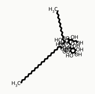 CCCCCCCCCCCCCCCCCCCCCCCCCC(=O)N[C@@H](COP(=O)(O)O[C@H]1C(O[C@H]2OC(CO)[C@@H](O)C(O)C2N)C(O)C(O)[C@@H](O)C1O)[C@H](O)[C@H](O)CCCCCCCCCCCCCC